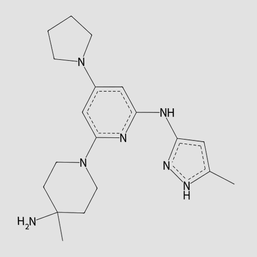 Cc1cc(Nc2cc(N3CCCC3)cc(N3CCC(C)(N)CC3)n2)n[nH]1